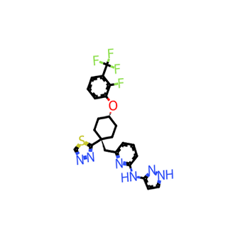 Fc1c(O[C@H]2CC[C@@](Cc3cccc(Nc4cc[nH]n4)n3)(c3nncs3)CC2)cccc1C(F)(F)F